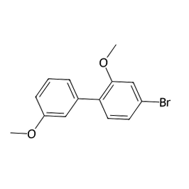 COc1cccc(-c2ccc(Br)cc2OC)c1